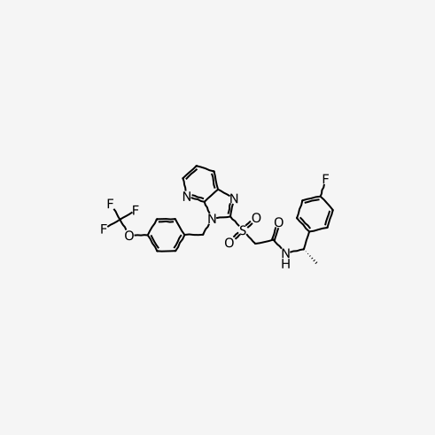 C[C@H](NC(=O)CS(=O)(=O)c1nc2cccnc2n1Cc1ccc(OC(F)(F)F)cc1)c1ccc(F)cc1